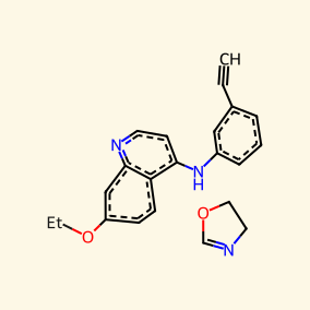 C#Cc1cccc(Nc2ccnc3cc(OCC)ccc23)c1.C1=NCCO1